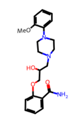 COc1ccccc1N1CCN(CC(O)COc2ccccc2C(N)=O)CC1